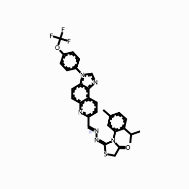 Cc1ccc(C(C)C)c(N2C(=O)CSC2=N/N=C/c2ccc3c(ccc4c3ncn4-c3ccc(OC(F)(F)F)cc3)n2)c1